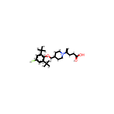 C=C(CCC(=O)O)N1CCC(COc2c(C(C)(C)C)cc(F)cc2C(C)(C)C)CC1